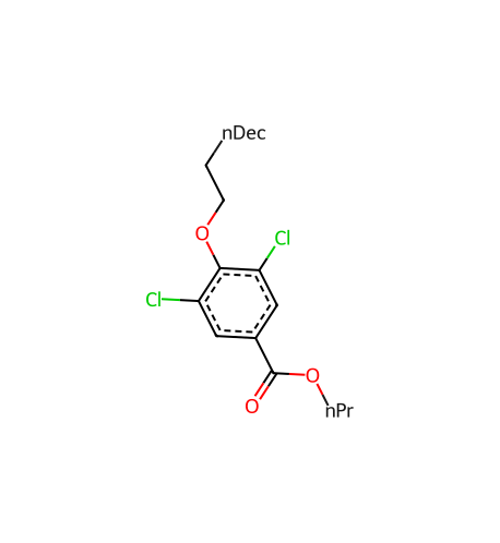 CCCCCCCCCCCCOc1c(Cl)cc(C(=O)OCCC)cc1Cl